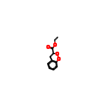 CCOC(=O)C1Cc2ccccc2OO1